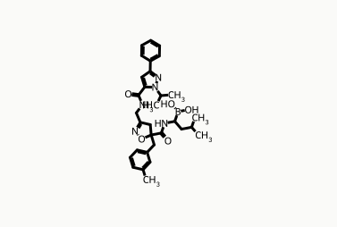 Cc1cccc(CC2(C(=O)NC(CC(C)C)B(O)O)CC(CNC(=O)c3cc(-c4ccccc4)nn3C(C)C)=NO2)c1